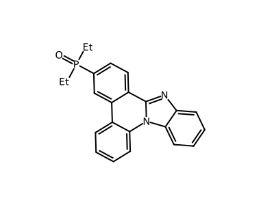 CCP(=O)(CC)c1ccc2c(c1)c1ccccc1n1c3ccccc3nc21